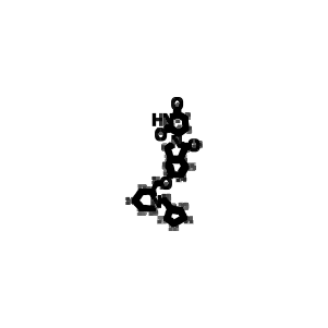 O=C1CCC(N2Cc3cc(OC[C@@H]4CCCCN4CC4=CCCC4)ccc3C2=O)C(=O)N1